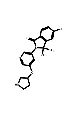 CC1(C)c2cc(Cl)ccc2C(=O)N1c1cncc(OC2CCNC2)c1